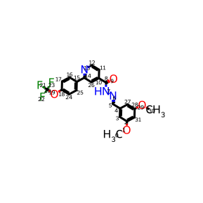 COc1cc(/C=N/NC(=O)c2ccnc(-c3ccc(OC(F)(F)F)cc3)c2)cc(OC)c1